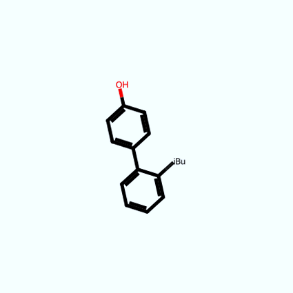 CCC(C)c1ccccc1-c1ccc(O)cc1